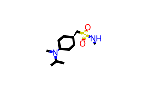 CNS(=O)(=O)C[C@H]1CC[C@H](N(C)C(C)C)CC1